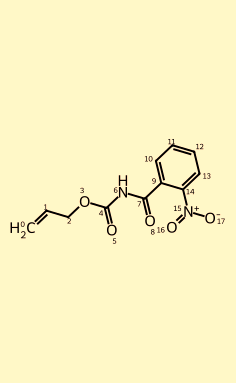 C=CCOC(=O)NC(=O)c1ccccc1[N+](=O)[O-]